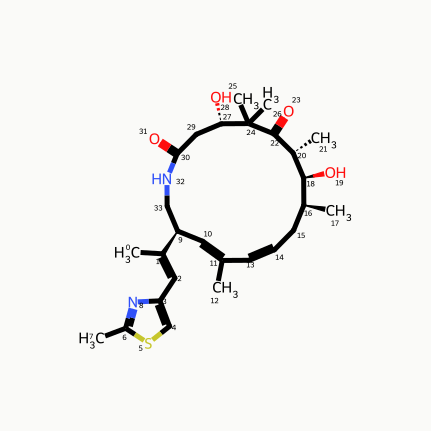 CC(=Cc1csc(C)n1)[C@@H]1/C=C(C)/C=C\C[C@H](C)[C@H](O)[C@@H](C)C(=O)C(C)(C)[C@@H](O)CC(=O)NC1